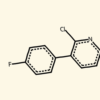 Fc1ccc(-c2cccnc2Cl)cc1